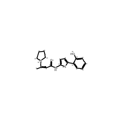 CC(=CC(=O)Nc1ccc(-c2ccccc2O)s1)N1CCCC1